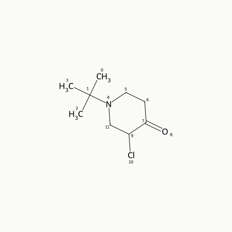 CC(C)(C)N1CCC(=O)C(Cl)C1